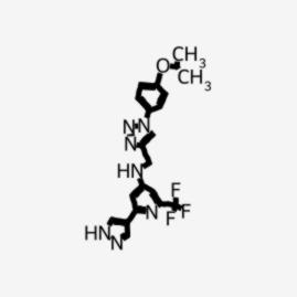 CC(C)Oc1ccc(-n2cc(CNc3cc(-c4cn[nH]c4)nc(C(F)(F)F)c3)nn2)cc1